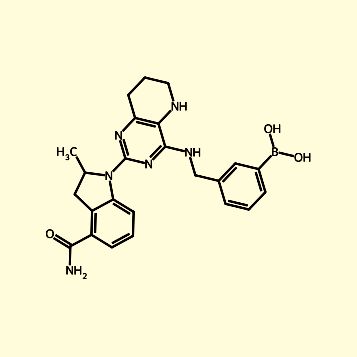 CC1Cc2c(C(N)=O)cccc2N1c1nc2c(c(NCc3cccc(B(O)O)c3)n1)NCCC2